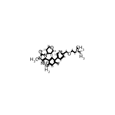 CN(C)CCOCc1ccc(-c2cc(-c3c(N)n(C)c(=O)n3C3CCOCC3)c(N)cc2F)cn1